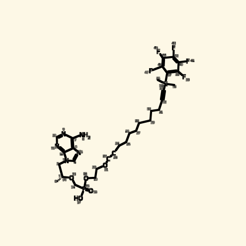 C[C@H](Cn1cnc2c(N)ncnc21)OCP(=O)(O)OCCOCCCCCCCCCCC#C[Si](C)(C)c1c(F)c(F)c(F)c(F)c1F